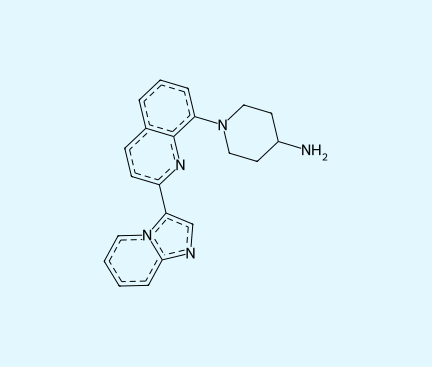 NC1CCN(c2cccc3ccc(-c4cnc5ccccn45)nc23)CC1